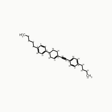 CCCCCc1ccc(C2CC=C(C#Cc3ccc(CCCC)cc3)CC2)cc1